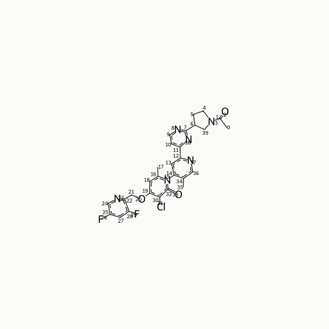 CC(=O)N1CCC(c2nccc(-c3cc(-n4c(C)cc(OCc5ncc(F)cc5F)c(Cl)c4=O)c(C)cn3)n2)C1